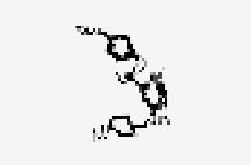 CC(C)(C)c1ccc(OC(=O)c2cc(NC3CCC(O)CC3)ncn2)cc1